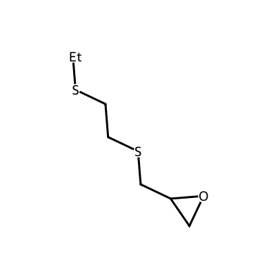 CCSCCSCC1CO1